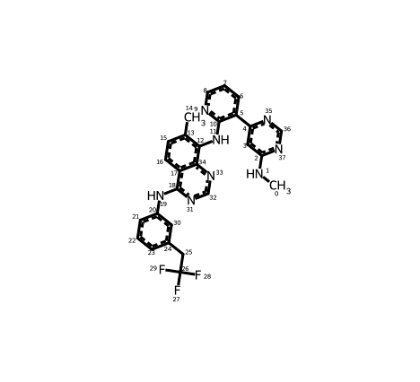 CNc1cc(-c2cccnc2Nc2c(C)ccc3c(Nc4cccc(CC(F)(F)F)c4)ncnc23)ncn1